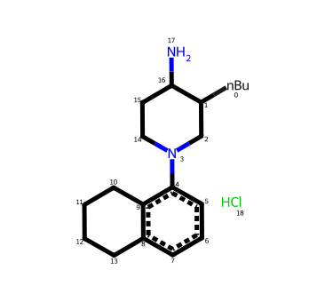 CCCCC1CN(c2cccc3c2CCCC3)CCC1N.Cl